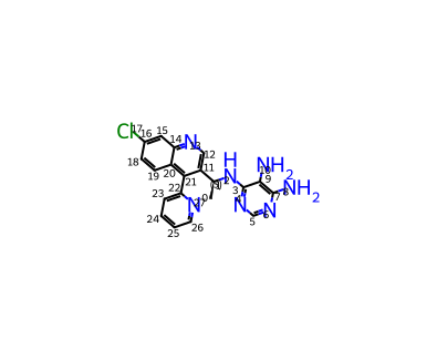 C[C@H](Nc1ncnc(N)c1N)c1cnc2cc(Cl)ccc2c1-c1ccccn1